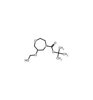 CC(C)(C)OC(=O)N1CCOCC(OCO)C1